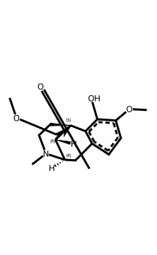 COc1ccc2c(c1O)[C@]13CCN(C)[C@H](C2)[C@@H]1CC(OC)C(=O)C3